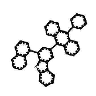 c1ccc(-c2c3ccccc3c(-c3cc(-c4cccc5ccccc45)c4oc5ccccc5c4c3)c3ccccc23)cc1